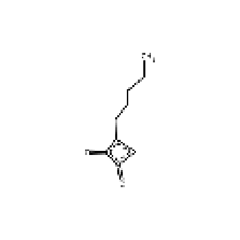 CCCCCc1cc(=O)c1=O